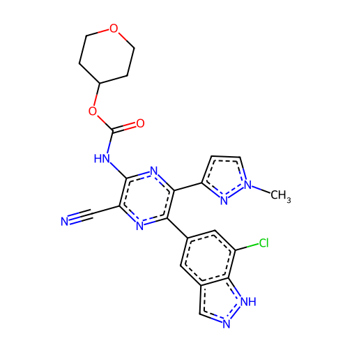 Cn1ccc(-c2nc(NC(=O)OC3CCOCC3)c(C#N)nc2-c2cc(Cl)c3[nH]ncc3c2)n1